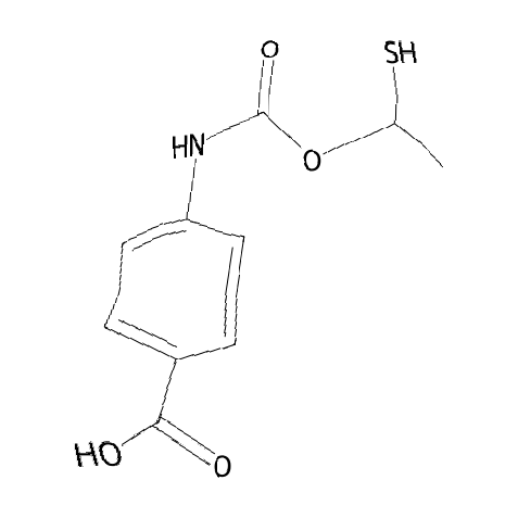 CC(S)OC(=O)Nc1ccc(C(=O)O)cc1